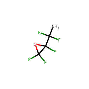 CC(F)(F)C1(F)OC1(F)F